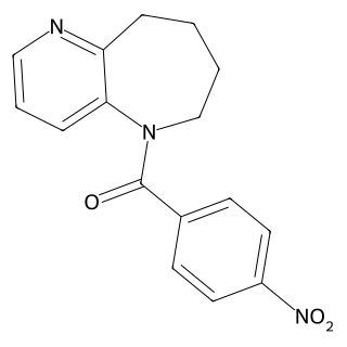 O=C(c1ccc([N+](=O)[O-])cc1)N1CCCCc2ncccc21